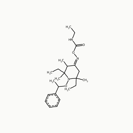 CCNC(=O)O/N=C1/CC(C)(CC)N(OC(C)c2ccccc2)C(C)(CC)C1C